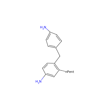 CCCCCc1cc(N)ccc1Cc1ccc(N)cc1